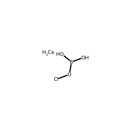 OB(O)OCl.[CaH2]